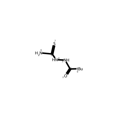 CC(C)(C)C(=O)NNC(N)=S